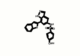 COc1ccc(S(=O)(=O)Nc2cc(-c3cc4ccccc4s3)c3[nH]ncc3c2)cc1